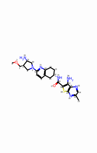 COC[C@@H]1CN(c2ccc3c(n2)CC[C@H](NC(=O)c2sc4nc(C)cnc4c2N)C3)C[C@@H]1N